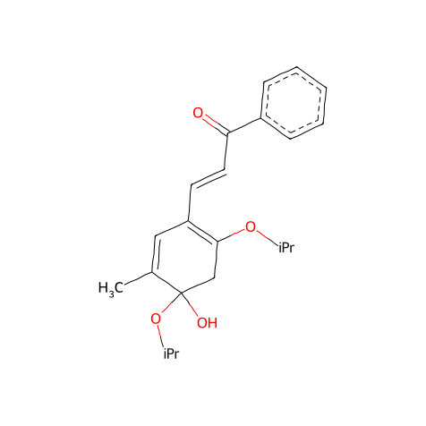 CC1=CC(C=CC(=O)c2ccccc2)=C(OC(C)C)CC1(O)OC(C)C